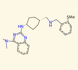 CSc1ccccc1CNC[C@H]1CC[C@@H](Nc2nc(N(C)C)c3ccccc3n2)CC1